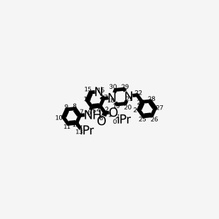 CC(C)OC(=O)c1c(Nc2ccccc2C(C)C)ccnc1N1CCN(Cc2ccccc2)CC1